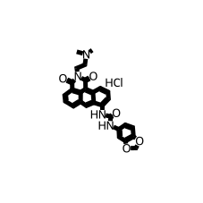 CN(C)CCN1C(=O)c2cccc3cc4c(NC(=O)Nc5ccc6c(c5)OCO6)cccc4c(c23)C1=O.Cl